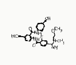 C#Cc1ccc(NC(=O)c2cc(C#C)ccc2NC(=O)c2ccc(C(=N)N(C)CCOC)cc2F)cc1